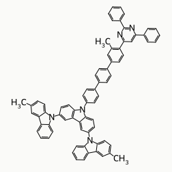 Cc1ccc2c(c1)c1ccccc1n2-c1ccc2c(c1)c1cc(-n3c4ccccc4c4cc(C)ccc43)ccc1n2-c1ccc(-c2ccc(-c3ccc(-c4cc(-c5ccccc5)nc(-c5ccccc5)n4)c(C)c3)cc2)cc1